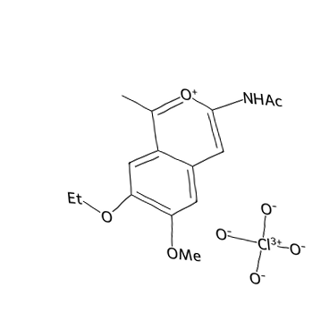 CCOc1cc2c(C)[o+]c(NC(C)=O)cc2cc1OC.[O-][Cl+3]([O-])([O-])[O-]